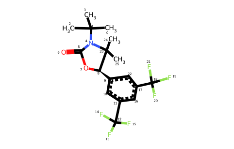 CC(C)(C)N1C(=O)O[C@H](c2cc(C(F)(F)F)cc(C(F)(F)F)c2)C1(C)C